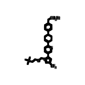 CCOC(=O)Cc1ccc(C2CC=C(c3ccc(-c4cc(C(F)(F)F)cn4COCC[Si](C)(C)C)cn3)CC2)cc1